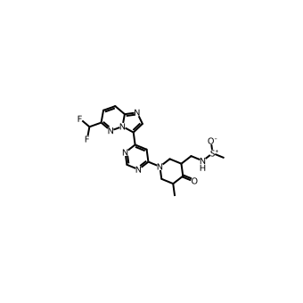 CC1CN(c2cc(-c3cnc4ccc(C(F)F)nn34)ncn2)CC(CN[S+](C)[O-])C1=O